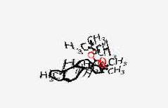 C[C@]12CCCCC1=CC[C@@H]1[C@@H]2CC[C@]2(C(O[Si](C)(C)C)O[Si](C)(C)C)C(=O)CC[C@@H]12